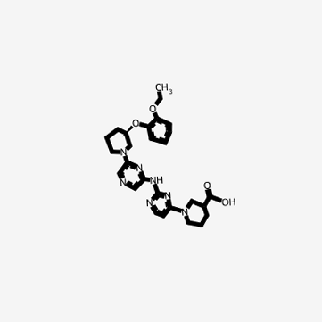 CCOc1ccccc1O[C@@H]1CCCN(c2cncc(Nc3nccc(N4CCCC(C(=O)O)C4)n3)n2)C1